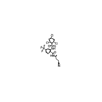 C=C(CCC#N)NC(=O)c1ccc(C(F)(F)F)cc1NS(=O)(=O)c1c(Cl)cc(Cl)cc1Cl